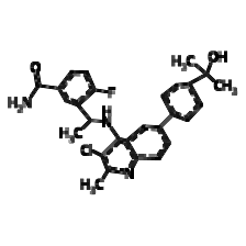 Cc1nc2ccc(-c3ccc(C(C)(C)O)cc3)cc2c(NC(C)c2cc(C(N)=O)ccc2F)c1Cl